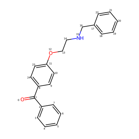 O=C(c1ccccc1)c1ccc(OCCNCc2ccccc2)cc1